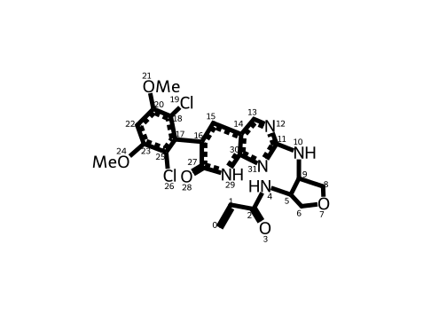 C=CC(=O)NC1COCC1Nc1ncc2cc(-c3c(Cl)c(OC)cc(OC)c3Cl)c(=O)[nH]c2n1